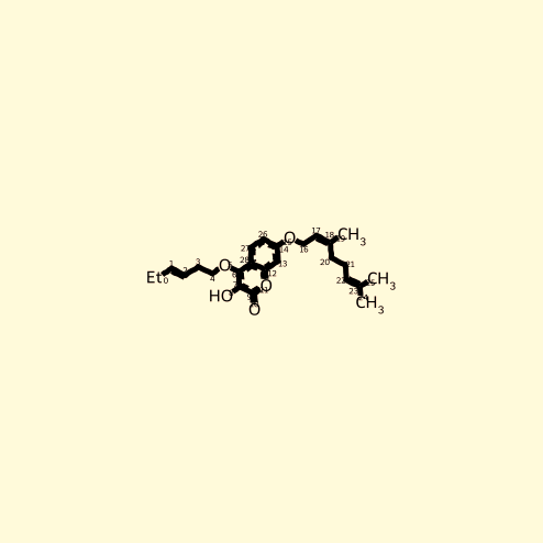 CCC=CCCOc1c(O)c(=O)oc2cc(OCC=C(C)CCC=C(C)C)ccc12